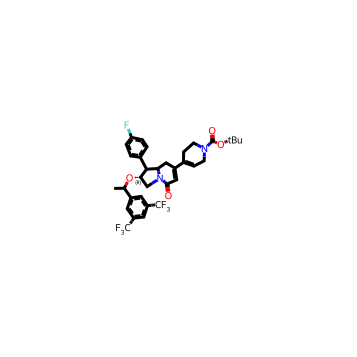 CC(O[C@H]1CN2C(=O)C=C(C3=CCN(C(=O)OC(C)(C)C)CC3)CC2C1c1ccc(F)cc1)c1cc(C(F)(F)F)cc(C(F)(F)F)c1